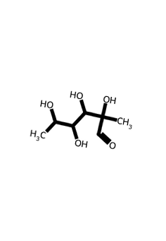 CC(O)C(O)C(O)C(C)(O)C=O